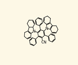 N#Cc1c(-c2ccccc2)c(N2C3=C(CCC=C3)C3CCC=CC32)c(-c2ccccc2)c(-n2c3c(c4c2C=CCC4)CCC=C3)c1-c1ccccc1